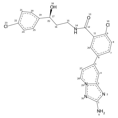 Nc1nc2cc(-c3ccc(Cl)c(C(=O)NCC[C@H](O)c4ccc(Cl)cc4)c3)ccn2n1